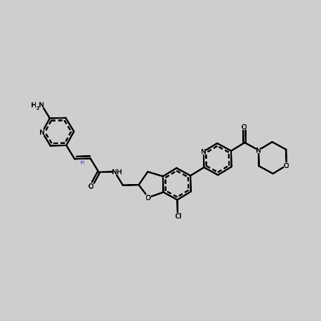 Nc1ccc(/C=C/C(=O)NCC2Cc3cc(-c4ccc(C(=O)N5CCOCC5)cn4)cc(Cl)c3O2)cn1